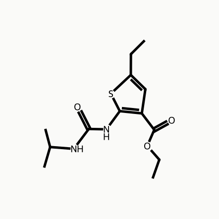 CCOC(=O)c1cc(CC)sc1NC(=O)NC(C)C